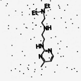 CCN(CC)CCNCCNc1nccc(C)n1